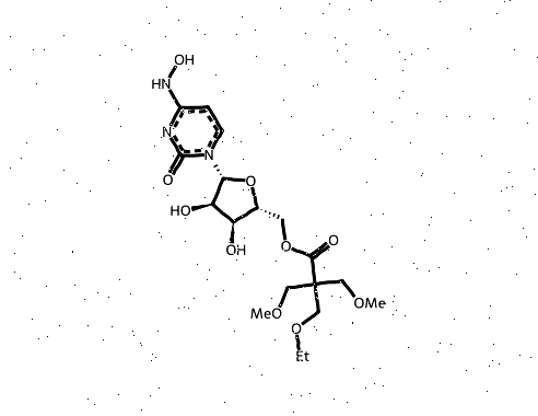 CCOCC(COC)(COC)C(=O)OC[C@H]1O[C@@H](n2ccc(NO)nc2=O)[C@H](O)[C@@H]1O